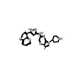 Fc1cn(C2CCNCC2)c2nc(Nc3cc(-c4ccnc5cccnc45)[nH]n3)cnc12